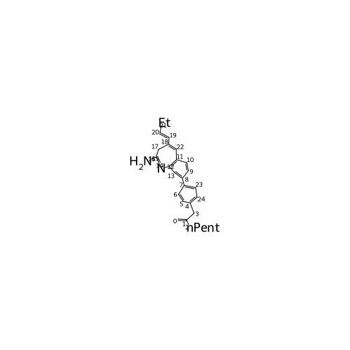 C=C(CCCCC)Cc1ccc(-c2ccc3c(c2)N=C(N)CC(/C=C/CC)=C3)cc1